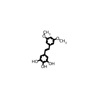 COc1cc(C=Cc2cc(O)c(O)c(O)c2)cc(OC)c1